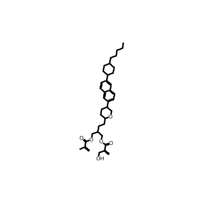 C=C(C)C(=O)OCC(CCC1CCC(c2ccc3cc(C4CCC(CCCCC)CC4)ccc3c2)CO1)COC(=O)C(=C)CO